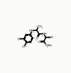 COC(=O)C(NC(=O)C(C)Nc1ccc(Cl)c(Cl)c1)C(C)C